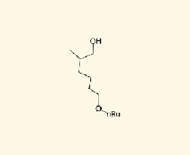 CCCCOCCCCC(C)CO